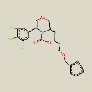 O=C(O)N1C(c2cc(F)c(F)c(F)c2)=COC[C@H]1CCCCOCc1ccccc1